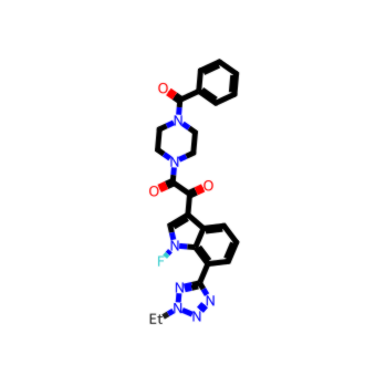 CCn1nnc(-c2cccc3c(C(=O)C(=O)N4CCN(C(=O)c5ccccc5)CC4)cn(F)c23)n1